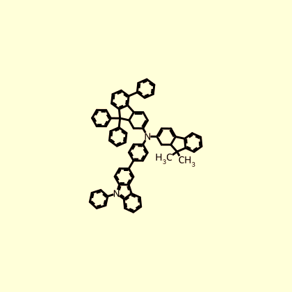 CC1(C)c2ccccc2C2=CC=C(N(C3=CC=C4c5c(-c6ccccc6)cccc5C(c5ccccc5)(c5ccccc5)C4C3)c3ccc(-c4ccc5c(c4)c4ccccc4n5-c4ccccc4)cc3)CC21